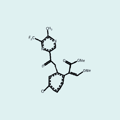 COC=C(C(=O)OC)c1ccc(Cl)cc1CC(=O)c1cnc(C)c(C(F)(F)F)n1